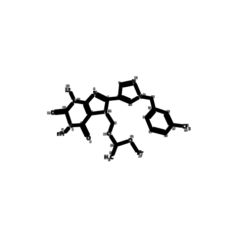 CCCn1c(=O)c2c(nc(-c3cnn(Cc4cccc(C(F)(F)F)c4)c3)n2COC(C)OC(C)C)n(CC)c1=O